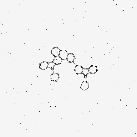 C1=CC(n2c3ccccc3c3cc(-c4ccc5c(c4)-c4cc6c(c7cccc(c47)C5)c4ccccc4n6-c4ccccc4)ccc32)=CCC1